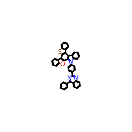 c1ccc(-c2nc(-c3ccc(-n4c5ccccc5c5c6c7ccccc7sc6c6c7ccccc7oc6c54)cc3)nc3ccccc23)cc1